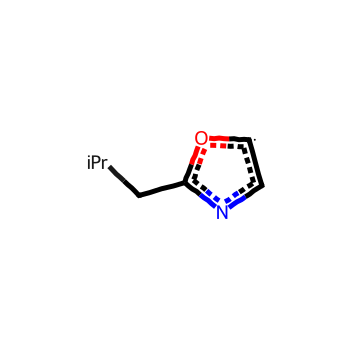 CC(C)Cc1nc[c]o1